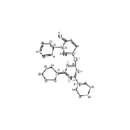 O=c1ccc(Oc2nc(N3CCCCC3)nc(N3CCCCC3)n2)nn1-c1ccccc1